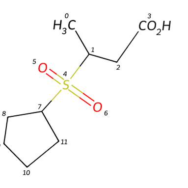 CC(CC(=O)O)S(=O)(=O)C1CCCC1